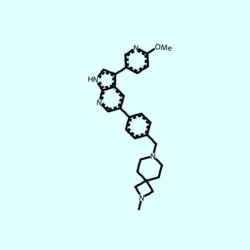 COc1ccc(-c2c[nH]c3ncc(-c4ccc(CN5CCC6(CC5)CN(C)C6)cc4)cc23)cn1